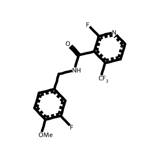 COc1ccc(CNC(=O)c2c(C(F)(F)F)ccnc2F)cc1F